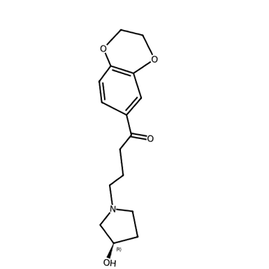 O=C(CCCN1CC[C@@H](O)C1)c1ccc2c(c1)OCCO2